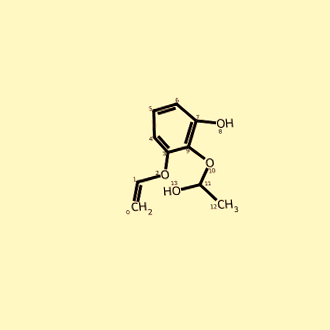 C=COc1cccc(O)c1OC(C)O